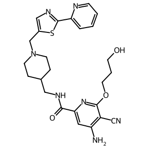 N#Cc1c(N)cc(C(=O)NCC2CCN(Cc3cnc(-c4ccccn4)s3)CC2)nc1OCCCO